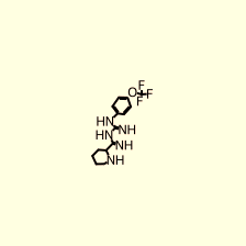 N=C(NC(=N)C1CCCCN1)Nc1ccc(OC(F)(F)F)cc1